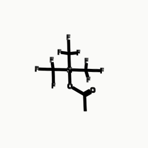 CC(=O)O[Si](C(F)(F)F)(C(F)(F)F)C(F)(F)F